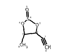 C#CC1OS(=O)OC1C